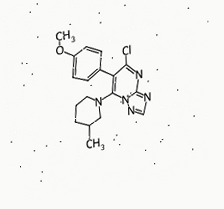 COc1ccc(-c2c(Cl)nc3ncnn3c2N2CCCC(C)C2)cc1